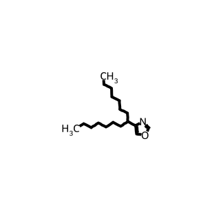 CCCCCCCC(CCCCCCC)c1cocn1